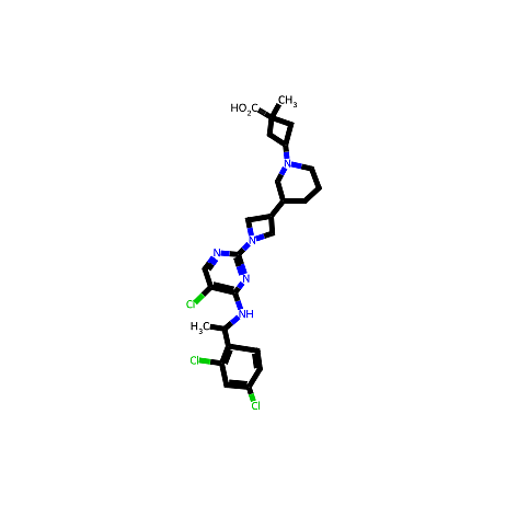 CC(Nc1nc(N2CC(C3CCCN(C4CC(C)(C(=O)O)C4)C3)C2)ncc1Cl)c1ccc(Cl)cc1Cl